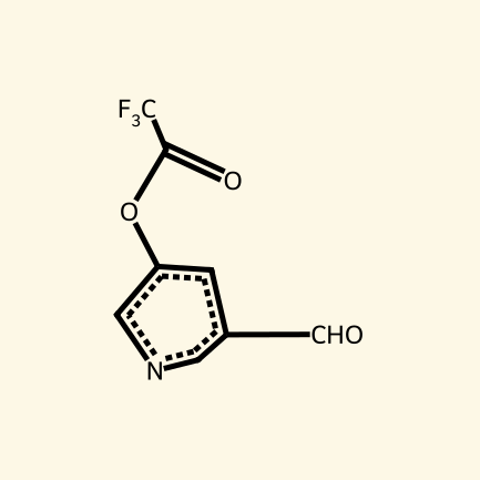 O=Cc1cncc(OC(=O)C(F)(F)F)c1